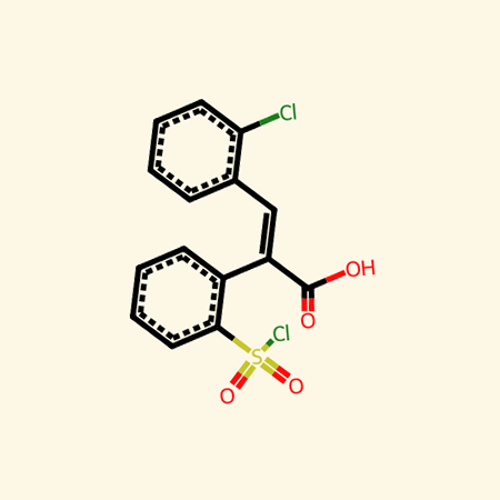 O=C(O)/C(=C/c1ccccc1Cl)c1ccccc1S(=O)(=O)Cl